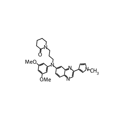 COc1cc(OC)cc(N(CCCN2CCCCC2=O)c2ccc3ncc(-c4ccn(C)c4)nc3c2)c1